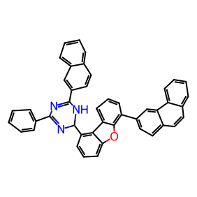 c1ccc(C2=NC(c3cccc4oc5c(-c6ccc7ccc8ccccc8c7c6)cccc5c34)NC(c3ccc4ccccc4c3)=N2)cc1